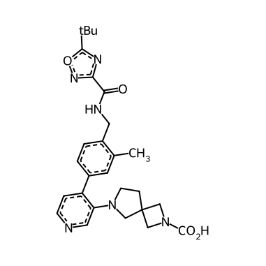 Cc1cc(-c2ccncc2N2CCC3(CN(C(=O)O)C3)C2)ccc1CNC(=O)c1noc(C(C)(C)C)n1